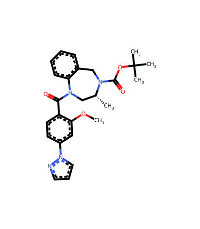 COc1cc(-n2cccn2)ccc1C(=O)N1C[C@@H](C)N(C(=O)OC(C)(C)C)Cc2ccccc21